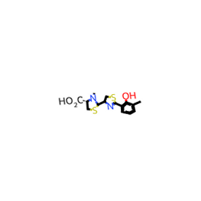 Cc1cccc(C2=NC(C3SC[C@H](C(=O)O)N3C)CS2)c1O